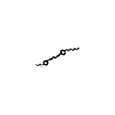 CCCCCCCc1ccc(C#C/C=C/C#Cc2ccc(OCCC)cc2)cc1